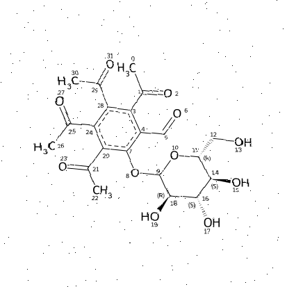 CC(=O)c1c(C=O)c(OC2O[C@H](CO)[C@@H](O)[C@H](O)[C@H]2O)c(C(C)=O)c(C(C)=O)c1C(C)=O